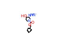 [N-]=[N+]=N[C@H]1CN(C(=O)OCc2ccccc2)CC[C@@H]1O